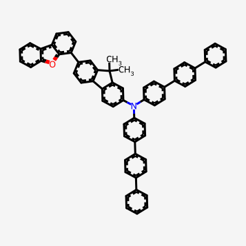 CC1(C)c2cc(-c3cccc4c3oc3ccccc34)ccc2-c2ccc(N(c3ccc(-c4ccc(-c5ccccc5)cc4)cc3)c3ccc(-c4ccc(-c5ccccc5)cc4)cc3)cc21